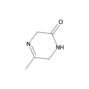 CC1=NCC(=O)NC1